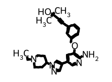 CCN1CCC(n2cc(-c3cnc(N)c(OCc4cccc(C#CC(C)(C)O)c4)c3)cn2)CC1